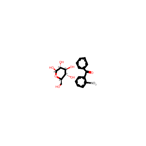 O=C(c1ccccc1)c1ccccc1[N+](=O)[O-].OC[C@H]1O[C@@H](O)[C@H](O)[C@@H](O)[C@@H]1O